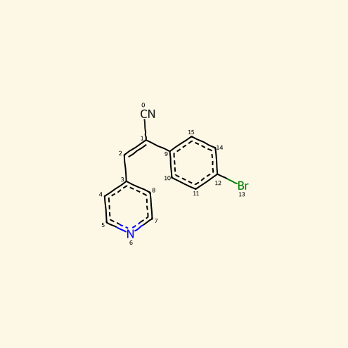 N#CC(=Cc1ccncc1)c1ccc(Br)cc1